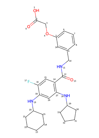 O=C(O)COc1cccc(CNC(=O)c2cc(F)c(NC3CCCCC3)cc2NC2CCCC2)c1